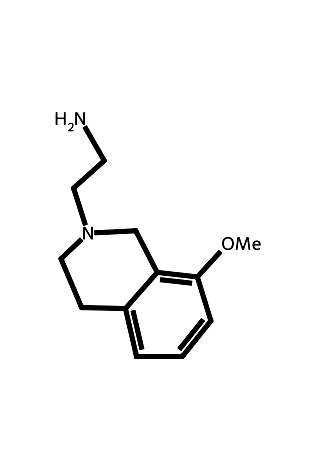 COc1cccc2c1CN(CCN)CC2